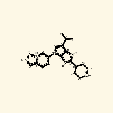 CC(C)c1cn(-c2ccc3cnnn3c2)c2sc(C3CCNCC3)nc12